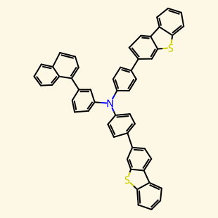 c1cc(-c2cccc3ccccc23)cc(N(c2ccc(-c3ccc4c(c3)sc3ccccc34)cc2)c2ccc(-c3ccc4c(c3)sc3ccccc34)cc2)c1